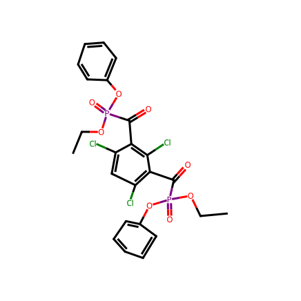 CCOP(=O)(Oc1ccccc1)C(=O)c1c(Cl)cc(Cl)c(C(=O)P(=O)(OCC)Oc2ccccc2)c1Cl